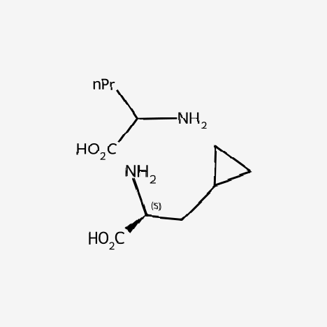 CCCC(N)C(=O)O.N[C@@H](CC1CC1)C(=O)O